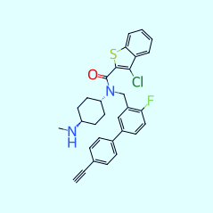 C#Cc1ccc(-c2ccc(F)c(CN(C(=O)c3sc4ccccc4c3Cl)[C@H]3CC[C@H](NC)CC3)c2)cc1